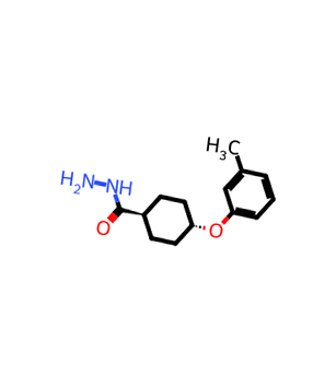 Cc1cccc(O[C@H]2CC[C@H](C(=O)NN)CC2)c1